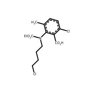 CCOC(=O)N(CCCCCl)c1c(C)ccc(Cl)c1C(=O)O